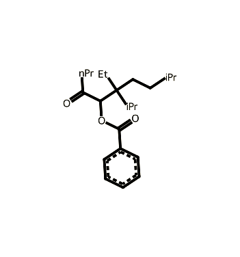 CCCC(=O)C(OC(=O)c1ccccc1)C(CC)(CCC(C)C)C(C)C